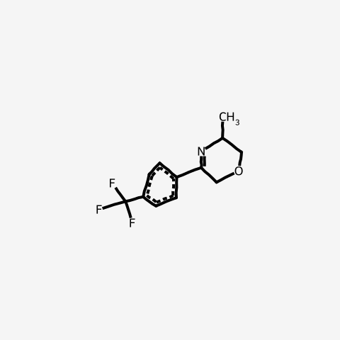 CC1COCC(c2ccc(C(F)(F)F)cc2)=N1